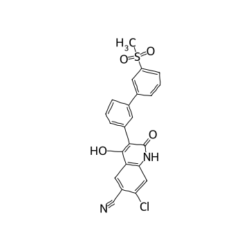 CS(=O)(=O)c1cccc(-c2cccc(-c3c(O)c4cc(C#N)c(Cl)cc4[nH]c3=O)c2)c1